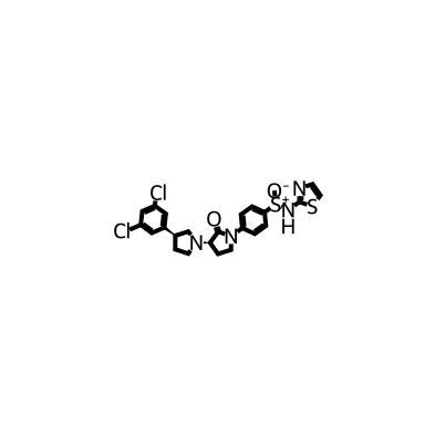 O=C1[C@@H](N2CC[C@@H](c3cc(Cl)cc(Cl)c3)C2)CCN1c1ccc([S+]([O-])Nc2nccs2)cc1